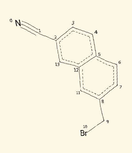 N#Cc1ccc2ccc(CBr)cc2c1